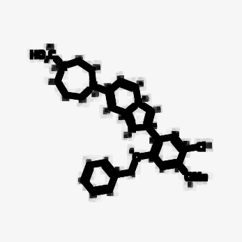 COc1cc(OCc2ccccc2)c(-c2cn3ccc(N4CCCN(C(=O)O)CC4)cc3n2)cc1Cl